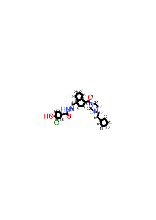 O=C(N/N=C/c1ccc(C(=O)N2CCN(CCc3ccccc3)CC2)c2ccccc12)c1ccc(O)c(Cl)c1